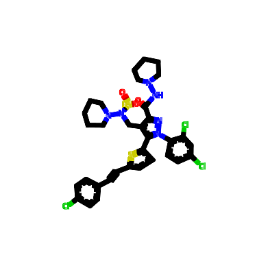 O=C(NN1CCCCC1)c1nn(-c2ccc(Cl)cc2Cl)c(-c2ccc(C#Cc3ccc(Cl)cc3)s2)c1CN(N1CCCCC1)[SH](=O)=O